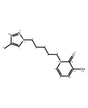 Cc1cn(CCCCCn2cccc(O)c2=O)nn1